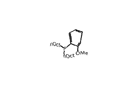 CCCCCCCCP(CCCCCCCC)c1ccccc1OC